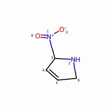 O=[N+]([O-])C1[C]=CCN1